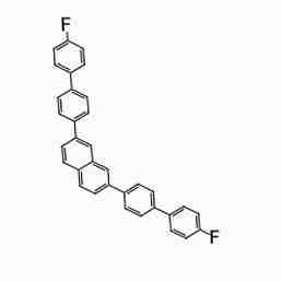 Fc1ccc(-c2ccc(-c3ccc4ccc(-c5ccc(-c6ccc(F)cc6)cc5)cc4c3)cc2)cc1